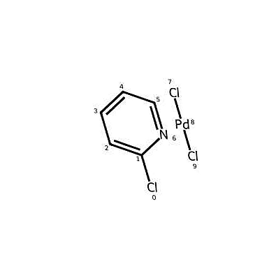 Clc1ccccn1.[Cl][Pd][Cl]